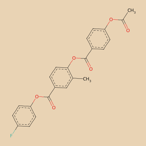 CC(=O)Oc1ccc(C(=O)Oc2ccc(C(=O)Oc3ccc(F)cc3)cc2C)cc1